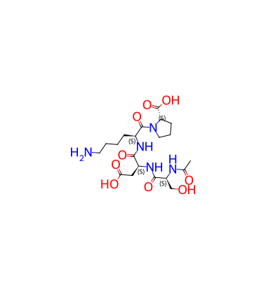 CC(=O)N[C@@H](CO)C(=O)N[C@@H](CC(=O)O)C(=O)N[C@@H](CCCCN)C(=O)N1CCC[C@H]1C(=O)O